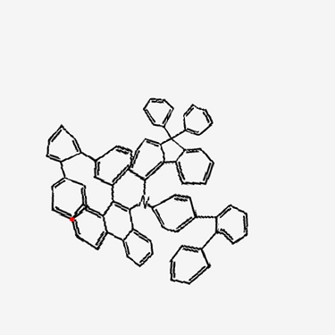 c1ccc(-c2ccccc2-c2ccc(N(c3cccc4c3-c3ccccc3C4(c3ccccc3)c3ccccc3)c3c(-c4cccc(-c5ccccc5-c5ccccc5)c4)c4ccccc4c4ccccc34)cc2)cc1